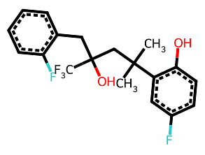 CC(C)(CC(O)(Cc1ccccc1F)C(F)(F)F)c1cc(F)ccc1O